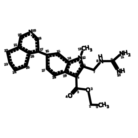 CCOC(=O)c1c(CNC(=N)N)n(C)c2cc(-c3cncc4ccccc34)ccc12